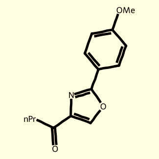 CCCC(=O)c1coc(-c2ccc(OC)cc2)n1